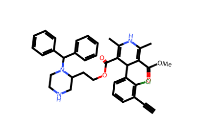 C#Cc1cccc(C2C(C(=O)OC)=C(C)NC(C)=C2C(=O)OCCC2CNCCN2C(c2ccccc2)c2ccccc2)c1Cl